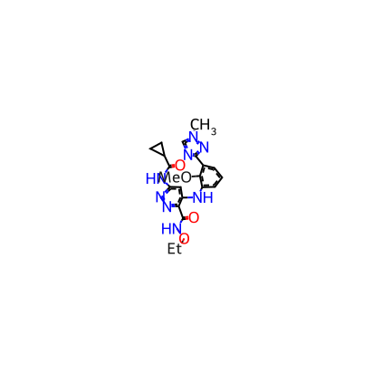 CCONC(=O)c1nnc(NC(=O)C2CC2)cc1Nc1cccc(-c2ncn(C)n2)c1OC